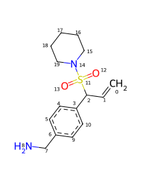 C=CC(c1ccc(CN)cc1)S(=O)(=O)N1CCCCC1